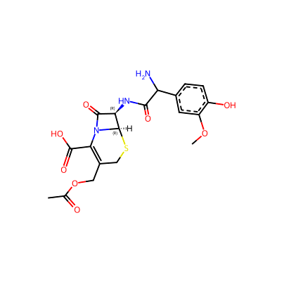 COc1cc(C(N)C(=O)N[C@@H]2C(=O)N3C(C(=O)O)=C(COC(C)=O)CS[C@H]23)ccc1O